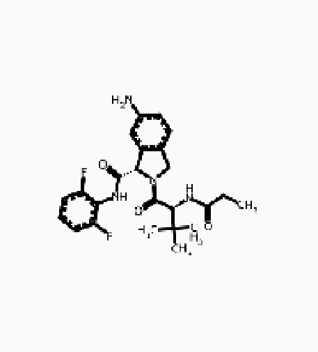 C[CH]C(=O)N[C@H](C(=O)N1Cc2ccc(N)cc2[C@H]1C(=O)Nc1c(F)cccc1F)C(C)(C)C